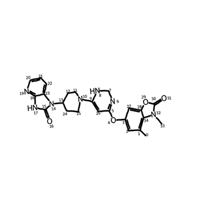 Cc1cc(OC2=NCNC(N3CCC(n4c(=O)[nH]c5ncccc54)CC3)=C2)cc2oc(=O)n(C)c12